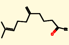 C=C(CCC=C(C)C)CCCC(=O)CC